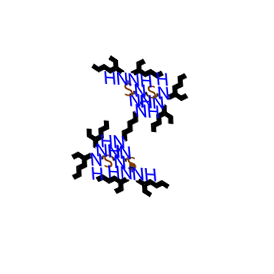 CCCCC(CC)CNC(NCC(CC)CCCC)Sc1nc(NCCCCCCNc2nc(SC(NCC(CC)CCCC)NCC(CC)CCCC)nc(SC(NCC(CC)CCCC)NCC(CC)CCCC)n2)nc(SC(NCC(CC)CCCC)NCC(CC)CCCC)n1